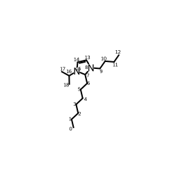 CCCCCCCC1N(CCCC)C=CN1C(C)C